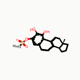 CNS(=O)(=O)Oc1cc2c(c(O)c1O)C1CC[C@]3(C)CCCC3C1CC2